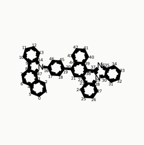 c1ccc2c(c1)ccc1c3ccccc3n(-c3ccc(-c4cc5c6ccccc6n6c7ccccc7nc6c5c5ccccc45)cc3)c21